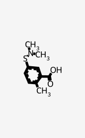 Cc1ccc(SN(C)C)cc1C(=O)O